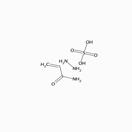 C=CC(N)=O.NN.O=S(=O)(O)O